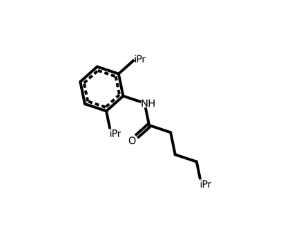 CC(C)CCCC(=O)Nc1c(C(C)C)cccc1C(C)C